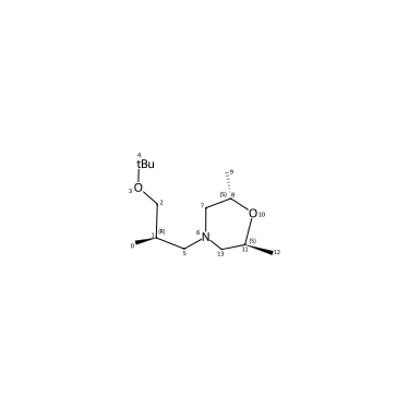 C[C@@H](COC(C)(C)C)CN1C[C@H](C)O[C@@H](C)C1